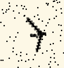 CCCCCCCCCCOP(=O)(O)OCCCCCCCCCC.[CaH2]